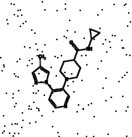 Cc1cnn(-c2ccncc2N2CCC(C(=O)NC3CC3)CC2)c1